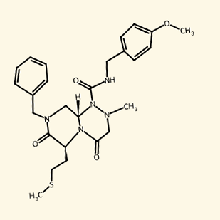 COc1ccc(CNC(=O)N2[C@H]3CN(Cc4ccccc4)C(=O)[C@H](CCSC)N3C(=O)CN2C)cc1